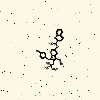 C[C@H](Oc1cnc2c(c1)c(SC(C)(C)C)c(CC(C)(C)C(=O)O)n2Cc1ccc(Cl)cc1)c1ccc2ccccc2n1